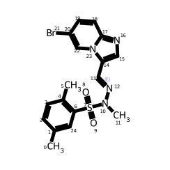 Cc1ccc(C)c(S(=O)(=O)N(C)/N=C/c2cnc3ccc(Br)cn23)c1